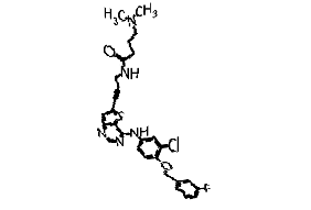 CN(C)CCCC(=O)NCC#Cc1cc2ncnc(Nc3ccc(OCc4cccc(F)c4)c(Cl)c3)c2s1